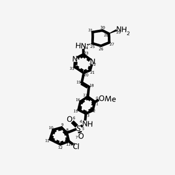 COc1cc(NS(=O)(=O)c2ccccc2Cl)ccc1/C=C/c1cnc(N[C@H]2CC[C@H](N)CC2)nc1